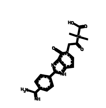 C[N+](C)(C(=O)O)C(=O)Cn1ccc2[nH]c(-c3ccc(C(=N)N)cc3)nc2c1=O